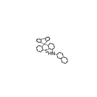 c1ccc2c(c1)Sc1c(Nc3ccc4ccccc4c3)cccc1C21c2ccccc2-c2ccccc21